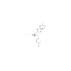 COC(=O)c1ccc(Cn2nc(C3CCCCC3)cc2-c2ccc(OC(F)(F)F)cc2)cc1